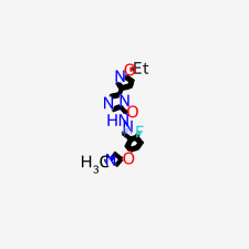 CCOc1ccc(-c2cncc(C(=O)N/N=C/c3cc(OC4CN(C)C4)ccc3F)n2)cn1